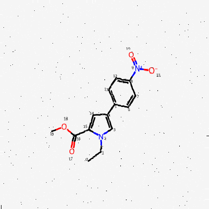 CCn1cc(-c2ccc([N+](=O)[O-])cc2)cc1C(=O)OC